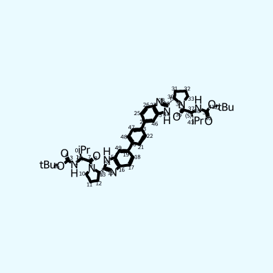 CC(C)[C@H](NC(=O)OC(C)(C)C)C(=O)N1CCC[C@H]1c1nc2ccc(-c3ccc(-c4ccc5nc([C@@H]6CCCN6C(=O)[C@@H](NC(=O)OC(C)(C)C)C(C)C)[nH]c5c4)cc3)cc2[nH]1